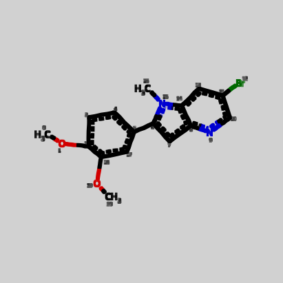 COc1ccc(-c2cc3ncc(Br)cc3n2C)cc1OC